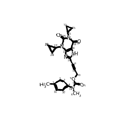 Cc1ccc(N(C)C(=O)OCC#Cc2nc3c([nH]2)c(=O)n(C2CC2)c(=O)n3C2CC2)cc1